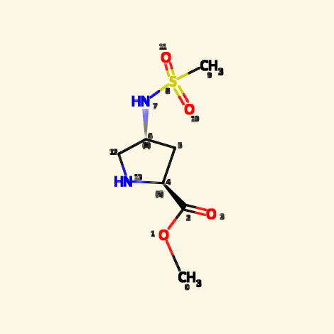 COC(=O)[C@@H]1C[C@@H](NS(C)(=O)=O)CN1